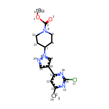 CC(C)(C)OC(=O)N1CCC(n2cc(-c3cc(C(F)(F)F)nc(Cl)n3)cn2)CC1